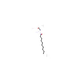 C=CCCCCCCCCC(=O)NCC(C)O